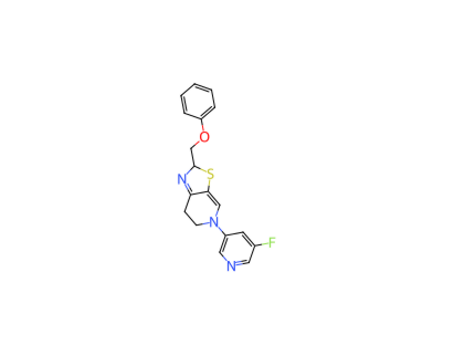 Fc1cncc(N2C=C3SC(COc4ccccc4)N=C3CC2)c1